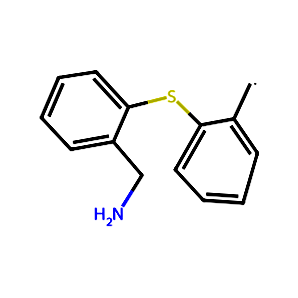 [CH2]c1ccccc1Sc1ccccc1CN